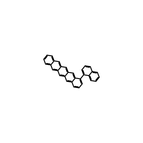 c1ccc2cc3cc4cc5c(-c6cccc7ccccc67)cccc5cc4cc3cc2c1